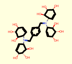 O[C@H]1[C@H](O)[C@@H](N(Cc2ccc(CN([C@H]3C=C[C@@H](O)[C@@H](O)[C@@H]3O)[C@H]3C=C[C@@H](O)[C@@H](O)[C@@H]3O)cc2)[C@H]2C=C[C@@H](O)[C@@H](O)[C@@H]2O)C=C[C@H]1O